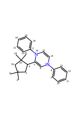 CC1(C)CC(C2=CN(c3ccccc3)C=CN2c2ccccc2)C(C)(C)C1